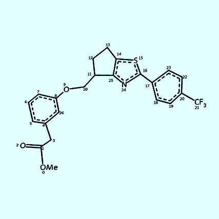 COC(=O)Cc1cccc(OCC2CCc3sc(-c4ccc(C(F)(F)F)cc4)nc32)c1